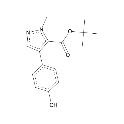 Cn1ncc(-c2ccc(O)cc2)c1C(=O)OC(C)(C)C